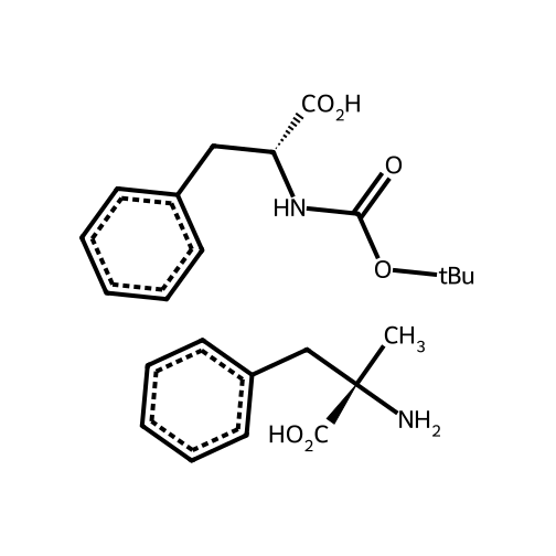 CC(C)(C)OC(=O)N[C@H](Cc1ccccc1)C(=O)O.C[C@](N)(Cc1ccccc1)C(=O)O